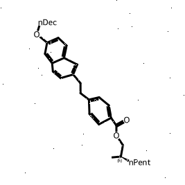 CCCCCCCCCCOc1ccc2cc(CCc3ccc(C(=O)OC[C@H](C)CCCCC)cc3)ccc2c1